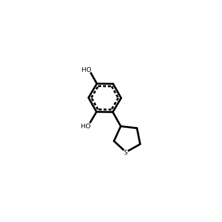 Oc1ccc(C2CCSC2)c(O)c1